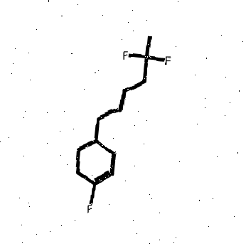 CC(F)(F)CCCCC1CC=C(F)CC1